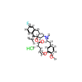 CCCCC(=O)O[C@@]1(CCN(C)CCc2ccc(OC)c(OC)c2)CCc2cc(F)ccc2[C@H]1C(C)C.Cl